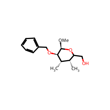 CO[C@H]1OC(CO)[C@H](C)[C@H](C)[C@H]1OCc1ccccc1